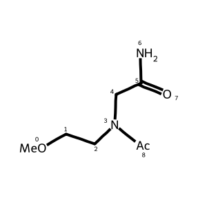 COCCN(CC(N)=O)C(C)=O